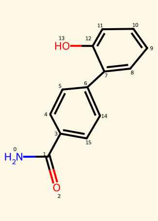 NC(=O)c1ccc(-c2ccccc2O)cc1